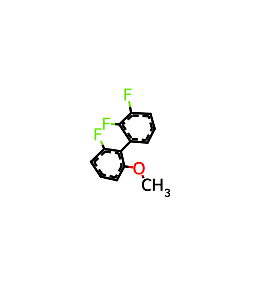 COc1cccc(F)c1-c1cccc(F)c1F